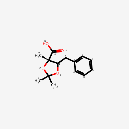 CC1(C)OC(Cc2ccccc2)[C@@](C)(C(=O)O)O1